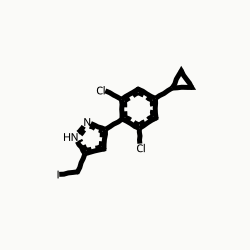 Clc1cc(C2CC2)cc(Cl)c1-c1cc(CI)[nH]n1